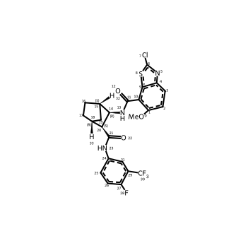 COc1ccc2nc(Cl)sc2c1C(=O)N[C@@H]1[C@H]2CC[C@H](C2)[C@@H]1C(=O)Nc1ccc(F)c(C(F)(F)F)c1